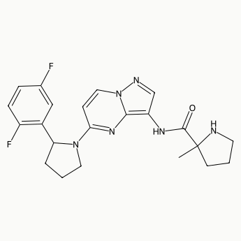 CC1(C(=O)Nc2cnn3ccc(N4CCCC4c4cc(F)ccc4F)nc23)CCCN1